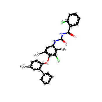 Cc1cc(NC(=O)NC(=O)c2ccccc2Cl)c(C)c(Cl)c1Oc1ccc(C(F)(F)F)cc1-c1ccccc1